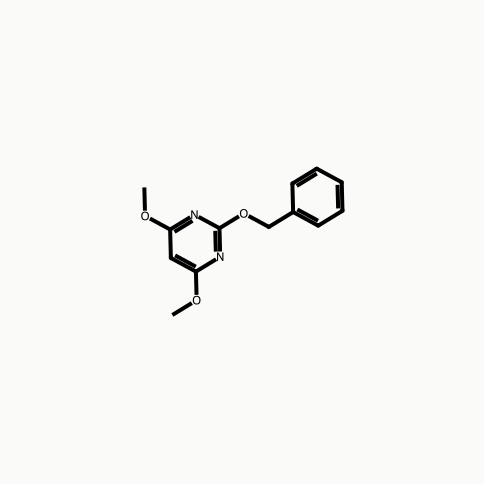 COc1cc(OC)nc(OCc2ccccc2)n1